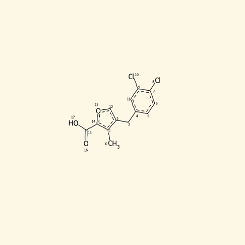 Cc1c(Cc2ccc(Cl)c(Cl)c2)coc1C(=O)O